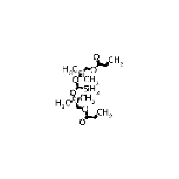 C=CC(=O)OC[Si](C)(C)OC([SiH3])O[Si](C)(C)COC(=O)C=C